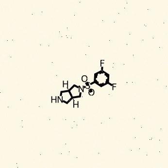 O=S(=O)(c1cc(F)cc(F)c1)N1C[C@H]2CNC[C@H]2C1